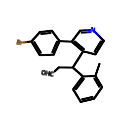 Cc1ccccc1C(CC=O)c1ccncc1-c1ccc(Br)cc1